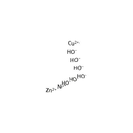 [Cu+2].[Ni+2].[OH-].[OH-].[OH-].[OH-].[OH-].[OH-].[Zn+2]